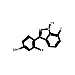 CCCn1nc(-c2ccc(OC)cc2C)c2cccc(F)c21